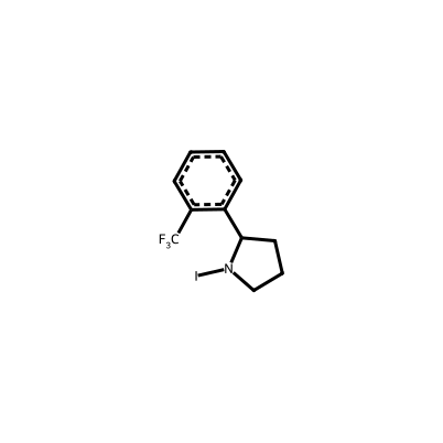 FC(F)(F)c1ccccc1C1CCCN1I